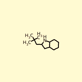 CC(C)(C)CC1CC2CCCCC2N1